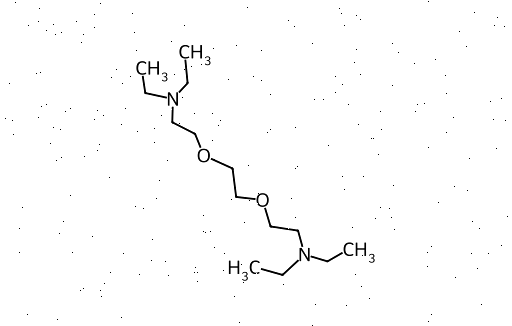 CCN(CC)CCOCCOCCN(CC)CC